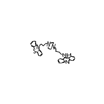 c1ccc2c(c1)Sc1ccccc1N2CCCN1CCN(CCCCNc2c3ccccc3nc3ccccc23)CC1